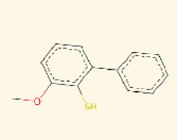 COc1cccc(-c2ccccc2)c1S